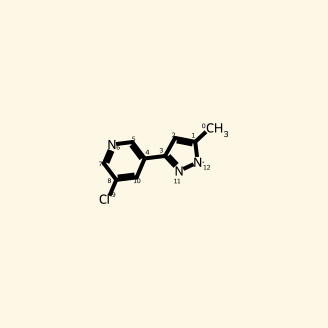 CC1=CC(c2cncc(Cl)c2)=N[N]1